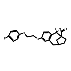 C=C1c2ccc(OCCOc3ccc(F)cc3)cc2CC2[CH]C1(C(N)=O)CC2